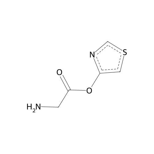 NCC(=O)Oc1cscn1